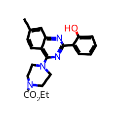 CCOC(=O)N1CCN(c2nc(-c3ccccc3O)nc3cc(C)ccc23)CC1